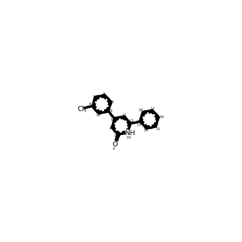 O=c1cc(-c2cccc(Cl)c2)cc(-c2ccccc2)[nH]1